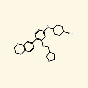 CC1CCC(Nc2ncc(-c3ccc4c(c3)OCCO4)c(OCC3CCOC3)n2)CC1